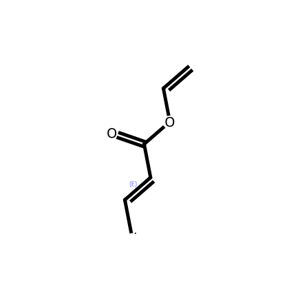 [CH2]/C=C/C(=O)OC=C